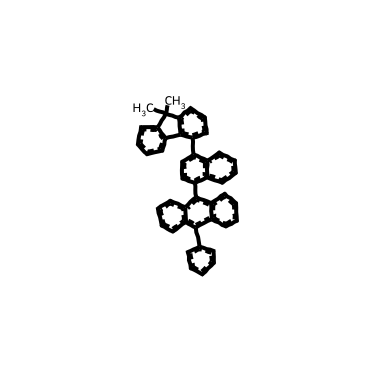 CC1(C)c2ccccc2-c2c(-c3ccc(-c4c5ccccc5c(-c5ccccc5)c5ccccc45)c4ccccc34)cccc21